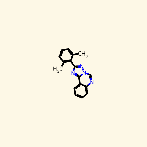 Cc1cccc(C)c1-c1nc2c3ccccc3ncn2n1